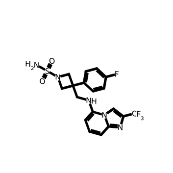 NS(=O)(=O)N1CC(CNc2cccc3nc(C(F)(F)F)cn23)(c2ccc(F)cc2)C1